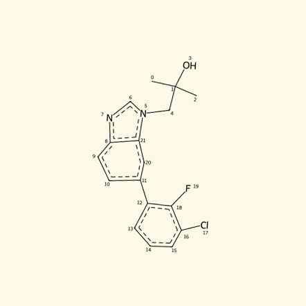 CC(C)(O)Cn1cnc2ccc(-c3cccc(Cl)c3F)cc21